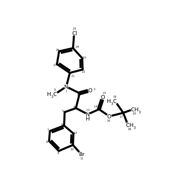 CN(C(=O)C(Cc1cccc(Br)c1)NC(=O)OC(C)(C)C)c1ccc(Cl)cc1